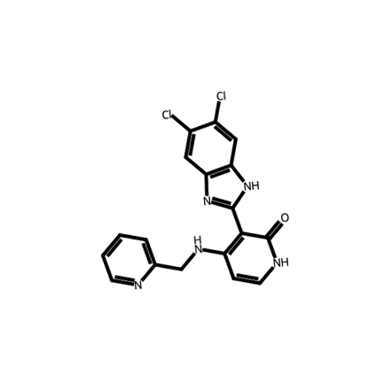 O=c1[nH]ccc(NCc2ccccn2)c1-c1nc2cc(Cl)c(Cl)cc2[nH]1